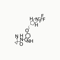 N#CC1(C(=O)Nc2c[nH]c3ccc(OCC[C@@H]4C[C@@H]5CN(CC(F)(F)F)C[C@@H]5C4)cc23)CC1